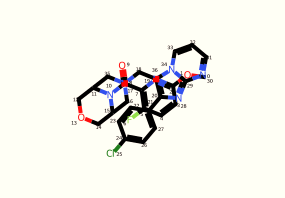 COc1ccc(F)c(C(=O)N2C3COCC2CN(Cc2c(-c4ccc(Cl)cc4)nc4ncccn24)C3)n1